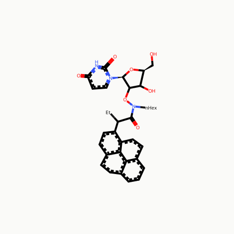 CCCCCCN(OC1C(O)[C@H](CO)O[C@@H]1n1ccc(=O)[nH]c1=O)C(=O)C(CC)c1ccc2ccc3cccc4ccc1c2c34